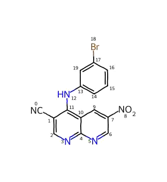 N#Cc1cnc2ncc([N+](=O)[O-])cc2c1Nc1cccc(Br)c1